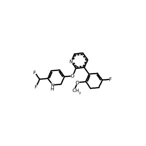 COC1=C(c2cccnc2OC2=CC=C(C(F)F)NC2)C=C(F)CC1